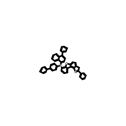 c1ccc(C2=Nc3c(ccc4oc5c(N(c6ccc(-c7ccccc7)cc6)c6ccc(-c7ccccc7)c7ccccc67)cccc5c34)C2)cc1